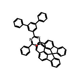 c1ccc(-c2cc(-c3ccccc3)cc(-c3nc(-c4ccccc4)nc(-c4ccc5c(c4)C4(c6ccccc6-5)c5ccccc5-c5ccc6ccccc6c54)n3)c2)cc1